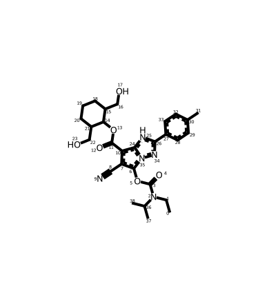 CCN(C(=O)Oc1c(C#N)c(C(=O)OC2C(CO)CCCC2CO)c2[nH]c(-c3ccc(C)cc3)nn12)C(C)C